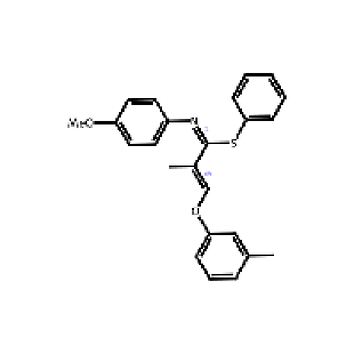 COc1ccc(/N=C(Sc2ccccc2)\C(C)=C\Oc2cccc(C)c2)cc1